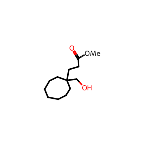 COC(=O)CCC1(CO)CCCCCCC1